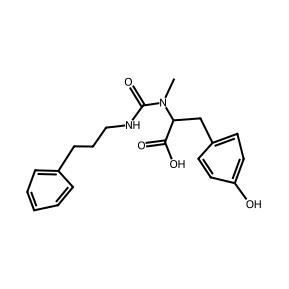 CN(C(=O)NCCCc1ccccc1)C(Cc1ccc(O)cc1)C(=O)O